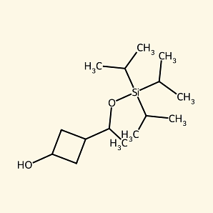 CC(O[Si](C(C)C)(C(C)C)C(C)C)C1CC(O)C1